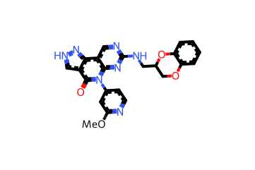 COc1cc(-n2c(=O)c3c[nH]nc3c3cnc(NCC4COc5ccccc5O4)nc32)ccn1